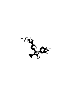 Cn1cc(-c2ccc(C3C(C4CC4)C(=O)N3c3ccc4[nH]cnc4c3)nc2)cn1